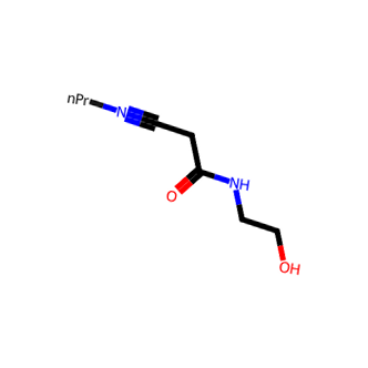 CCC[N+]#CCC(=O)NCCO